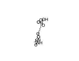 CC1C(=O)NC2=Nc3ccc(OCCCCCCC(=O)N(CC(=O)O)c4ccccc4)cc3CN21